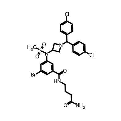 CS(=O)(=O)N(c1cc(Br)cc(C(=O)NCCCC(N)=O)c1)C1CN(C(c2ccc(Cl)cc2)c2ccc(Cl)cc2)C1